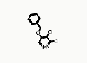 Clc1nncc(OCc2ccccc2)c1Cl